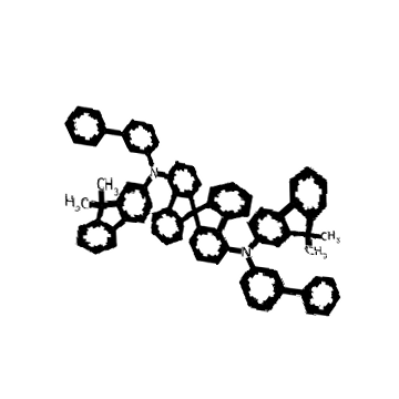 CC1(C)c2ccccc2-c2ccc(N(c3cccc(-c4ccccc4)c3)c3cccc4c3-c3ccccc3C43c4ccccc4-c4c(N(c5cccc(-c6ccccc6)c5)c5ccc6c(c5)C(C)(C)c5ccccc5-6)cccc43)cc21